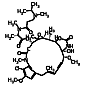 COc1cc2cc(c1Cl)N(C)C(=O)C[C@H](OC(=O)[C@H](C)N(C)C(=O)CCN(C)C(C)C)[C@]1(C)O[C@H]1[C@H](C)[C@@H]1C[C@@](O)(NC(=O)O1)[C@H](OC)/C=C/C=C(\C)C2